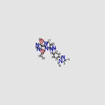 CCn1cc(C)nc1-c1ccc(Cn2ncc3cnc(-c4c(OC)ncnc4OC4CC4)nc32)cc1